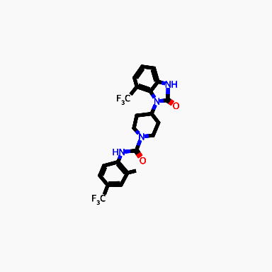 Cc1cc(C(F)(F)F)ccc1NC(=O)N1CCC(n2c(=O)[nH]c3cccc(C(F)(F)F)c32)CC1